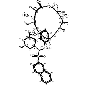 CC[C@H]1OC(=O)[C@H](C)[C@@H](O)[C@H](C)[C@@H](O[C@@H]2O[C@H](C)C[C@H](N(C)S(=O)(=O)c3ccc4ccccc4c3)[C@H]2c2ccccc2C(=O)O)[C@](C)(O)C[C@@H](C)CN(C)[C@H](C)[C@@H](O)[C@]1(C)O